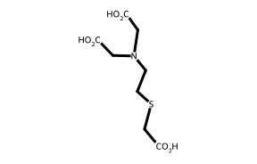 O=C(O)CSCCN(CC(=O)O)CC(=O)O